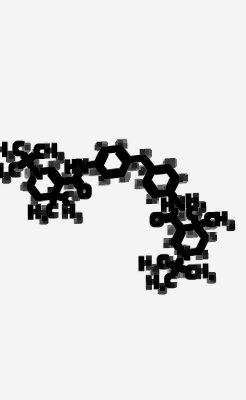 CC1(C)CCN(C(C)(C)C)C=C1C(=O)Nc1ccc(Cc2ccc(NC(=O)C3=CN(C(C)(C)C)CCC3(C)C)cc2)cc1